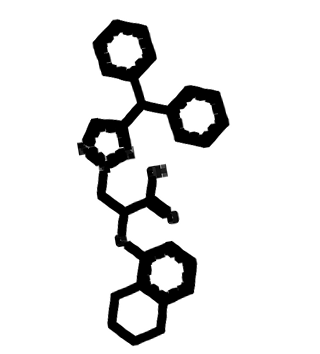 O=C(O)C(Cn1ncc(C(c2ccccc2)c2ccccc2)n1)Oc1cccc2c1CCCC2